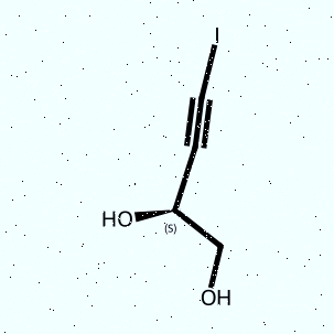 OC[C@@H](O)C#CI